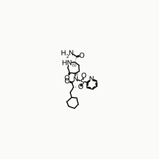 NC(=O)[C@@H]1CC[C@@H](N(C(=O)[CH]CC2CCCCC2)S(=O)(=O)c2ccccn2)C(=O)CN1